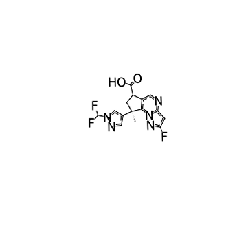 C[C@]1(c2cnn(C(F)F)c2)CC(C(=O)O)c2cnc3cc(F)nn3c21